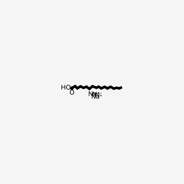 CCCCCCCCCCCCCCCCCC(=O)O.[N-]=[N+]=[N-].[Na+]